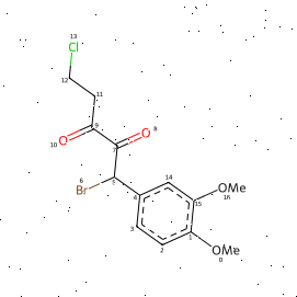 COc1ccc(C(Br)C(=O)C(=O)CCCl)cc1OC